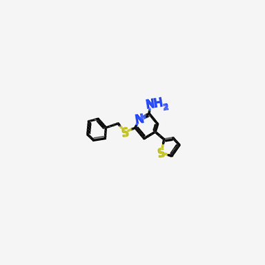 Nc1cc(-c2cccs2)cc(SCc2ccccc2)n1